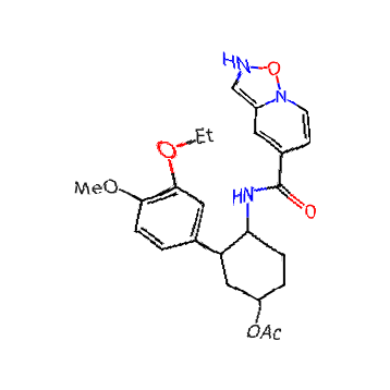 CCOc1cc(C2CC(OC(C)=O)CCC2NC(=O)C2=CC3=CNON3C=C2)ccc1OC